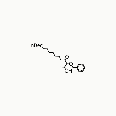 CCCCCCCCCCCCCCCCCC(=O)C(OCc1ccccc1)C(C)O